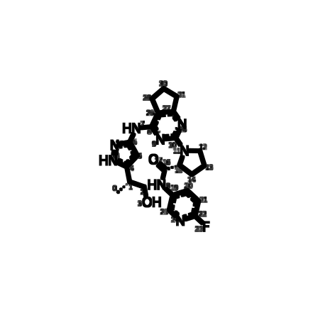 C[C@@H](CO)c1cc(Nc2nc(N3CCC[C@@H]3C(=O)Nc3ccc(F)nc3)nc3c2CCC3)n[nH]1